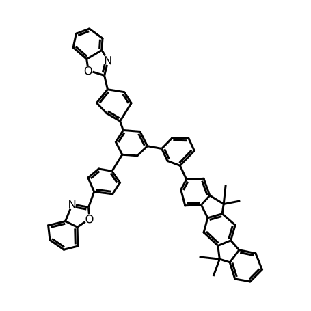 CC1(C)c2ccccc2-c2cc3c(cc21)-c1ccc(-c2cccc(C4=CC(c5ccc(-c6nc7ccccc7o6)cc5)=CC(c5ccc(-c6nc7ccccc7o6)cc5)C4)c2)cc1C3(C)C